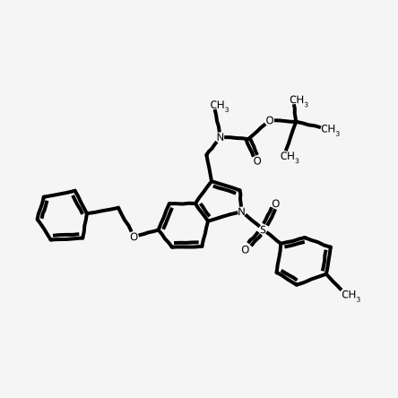 Cc1ccc(S(=O)(=O)n2cc(CN(C)C(=O)OC(C)(C)C)c3cc(OCc4ccccc4)ccc32)cc1